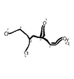 C=CC(=O)C(Cl)CCl